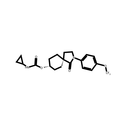 O=C(NC1CC1)O[C@H]1CC[C@@]2(CCN(c3ccc(OC(F)(F)F)cc3)C2=O)CC1